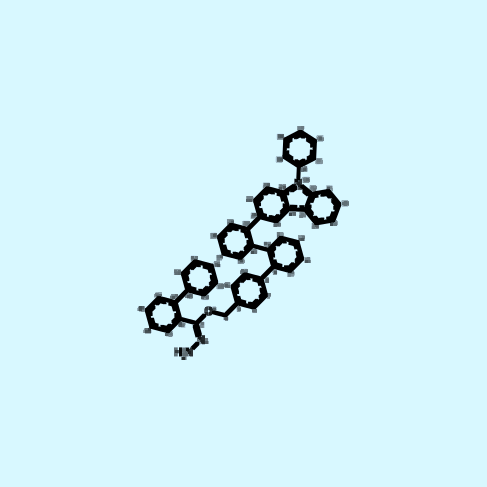 NN=C(OCc1ccc(-c2ccccc2-c2ccccc2-c2ccc3c(c2)c2ccccc2n3-c2ccccc2)cc1)c1ccccc1-c1ccccc1